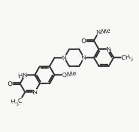 CNC(=O)c1nc(C)ccc1N1CCN(Cc2cc3[nH]c(=O)c(C)nc3cc2OC)CC1